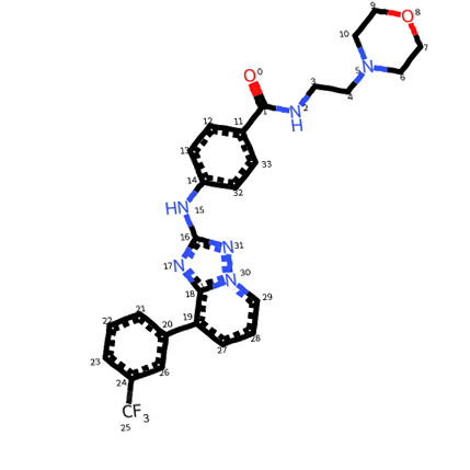 O=C(NCCN1CCOCC1)c1ccc(Nc2nc3c(-c4cccc(C(F)(F)F)c4)cccn3n2)cc1